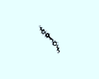 CCCCCC[C@H]1CC[C@H](/C=C/C#Cc2ccc([C@H]3CC[C@H](CCC)CC3)cc2)CC1